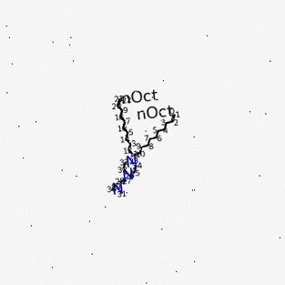 CCCCCCCC/C=C\CCCCCCCCC(CCCCCCCC/C=C\CCCCCCCC)N1CCN(CCN(C)C)CC1